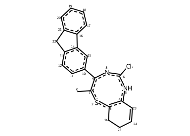 Cc1sc2c([nH]c(Cl)nc1-c1ccc3c(c1)-c1ccccc1C3)C=CCC2